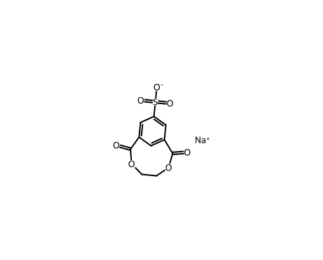 O=C1OCCOC(=O)c2cc1cc(S(=O)(=O)[O-])c2.[Na+]